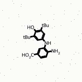 CC(C)(C)c1cc(Nc2cc(C(=O)O)ccc2N)cc(C(C)(C)C)c1O